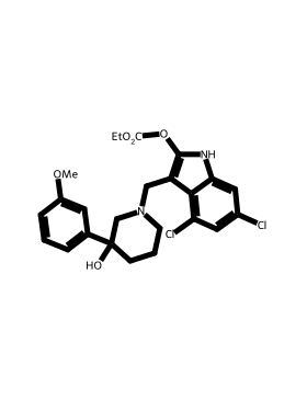 CCOC(=O)Oc1[nH]c2cc(Cl)cc(Cl)c2c1CN1CCCC(O)(c2cccc(OC)c2)C1